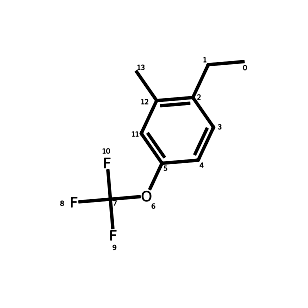 CCc1ccc(OC(F)(F)F)cc1C